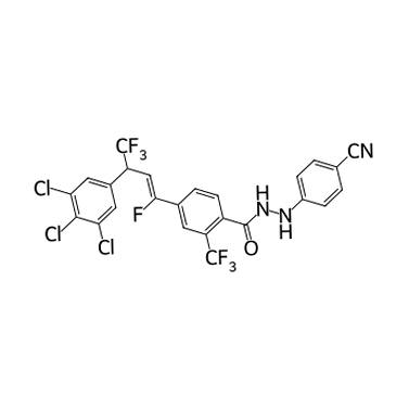 N#Cc1ccc(NNC(=O)c2ccc(C(F)=CC(c3cc(Cl)c(Cl)c(Cl)c3)C(F)(F)F)cc2C(F)(F)F)cc1